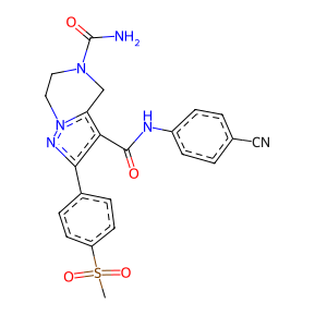 CS(=O)(=O)c1ccc(-c2nn3c(c2C(=O)Nc2ccc(C#N)cc2)CN(C(N)=O)CC3)cc1